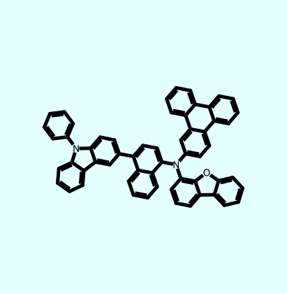 c1ccc(-n2c3ccccc3c3cc(-c4ccc(N(c5ccc6c7ccccc7c7ccccc7c6c5)c5cccc6c5oc5ccccc56)c5ccccc45)ccc32)cc1